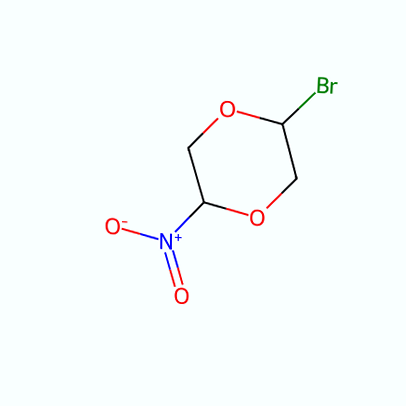 O=[N+]([O-])C1COC(Br)CO1